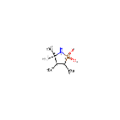 CC(C)(C)C1C(C(C)(C)C)S(=O)(=O)NC1(C(C)(C)C)C(C)(C)C